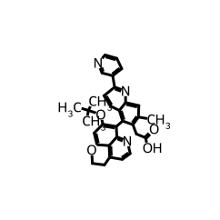 Cc1cc2nc(-c3cccnc3)ccc2c(-c2c(OC(C)(C)C)cc3c4c(ccnc24)CCO3)c1CC(=O)O